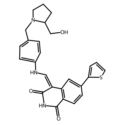 O=C1NC(=O)c2ccc(-c3cccs3)cc2C1=CNc1ccc(CN2CCCC2CO)cc1